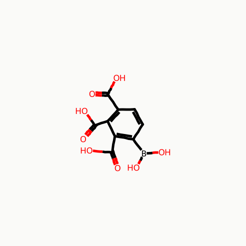 O=C(O)c1ccc(B(O)O)c(C(=O)O)c1C(=O)O